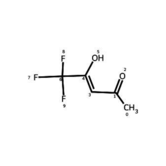 CC(=O)/C=C(\O)C(F)(F)F